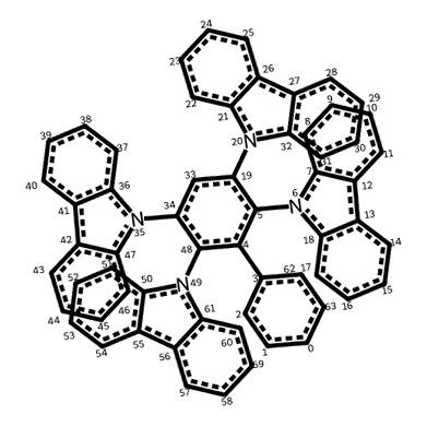 c1ccc(-c2c(-n3c4ccccc4c4ccccc43)c(-n3c4ccccc4c4ccccc43)cc(-n3c4ccccc4c4ccccc43)c2-n2c3ccccc3c3ccccc32)cc1